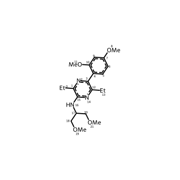 CCc1nc(-c2ccc(OC)cc2OC)c(CC)nc1NC(COC)COC